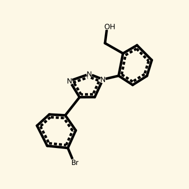 OCc1ccccc1-n1cc(-c2cccc(Br)c2)nn1